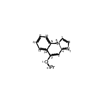 CC(C)Oc1cc2n[c]cn2c2ccccc12